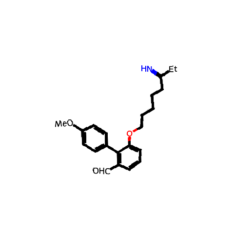 CCC(=N)CCCCCOc1cccc(C=O)c1-c1ccc(OC)cc1